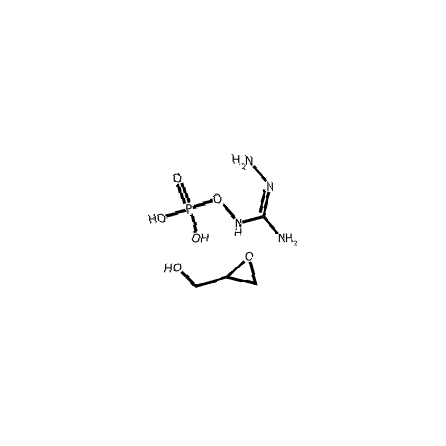 NN=C(N)NOP(=O)(O)O.OCC1CO1